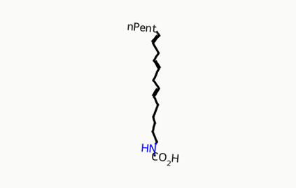 CCCCC/C=C/C/C=C/C/C=C/CCCCCNC(=O)O